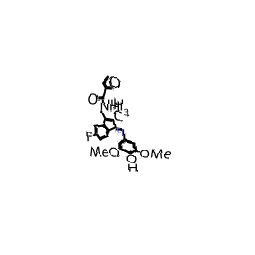 COc1cc(/C=C2/C(C)=C(CNC(=O)c3ccoc3)c3cc(F)ccc32)cc(OC)c1O